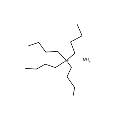 CCCC[N+](CCCC)(CCCC)CCCC.N